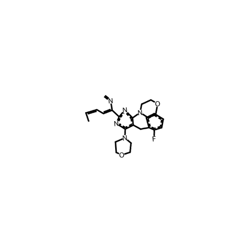 C=N/C(=C\C=C/C)c1nc(N2CCOCC2)c(Cc2ccccc2F)c(N2CCOCC2)n1